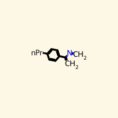 C=NC(=C)c1ccc(CCC)cc1